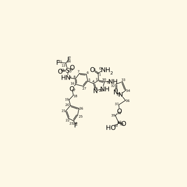 NC(=O)c1c(-c2ccc(NS(=O)(=O)C(F)F)c(OCCc3ccc(F)cc3)c2)n[nH]c1Nc1ccn(CCOCC(=O)O)n1